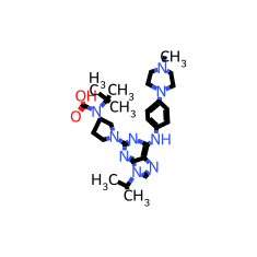 CC(C)n1cnc2c(Nc3ccc(N4CCN(C)CC4)cc3)nc(N3CCC(N(C(=O)O)C(C)(C)C)C3)nc21